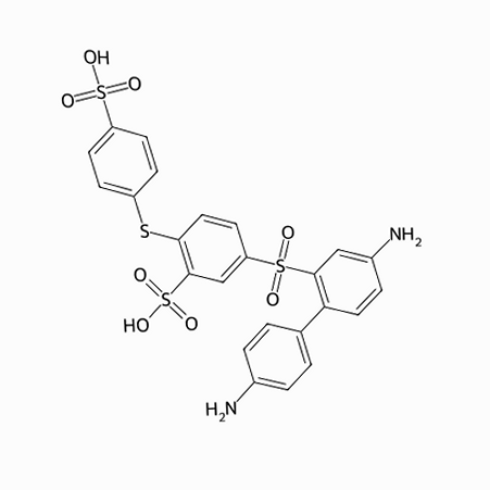 Nc1ccc(-c2ccc(N)cc2S(=O)(=O)c2ccc(Sc3ccc(S(=O)(=O)O)cc3)c(S(=O)(=O)O)c2)cc1